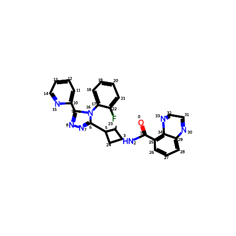 O=C(NC1CC(c2nnc(-c3ccccn3)n2-c2ccccc2F)C1)c1cccc2nccnc12